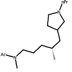 CCCN1CCC(C[C@H](C)CCCN(C)C(C)=O)C1